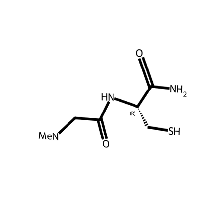 CNCC(=O)N[C@@H](CS)C(N)=O